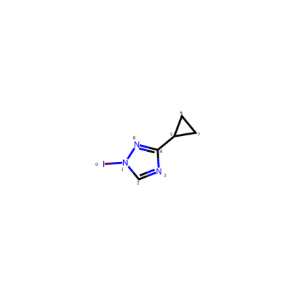 In1cnc(C2CC2)n1